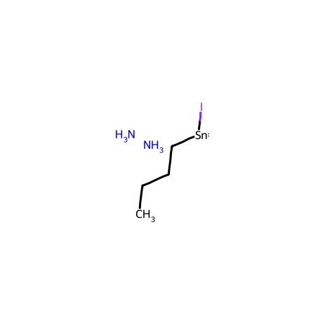 CCC[CH2][Sn][I].N.N